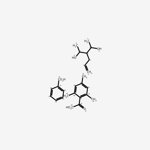 C=CCC(C(C)O)C(C)O.Cc1cc(C)c(C(=O)C(=O)O)c(C)c1.O=C(O)c1ccccc1